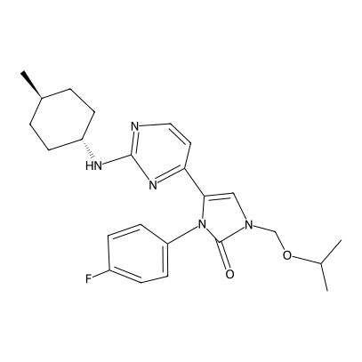 CC(C)OCn1cc(-c2ccnc(N[C@H]3CC[C@H](C)CC3)n2)n(-c2ccc(F)cc2)c1=O